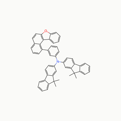 CC1(C)c2ccccc2-c2ccc(N(c3cccc(-c4cccc5ccc6oc7ccccc7c6c45)c3)c3ccc4c(c3)C(C)(C)c3ccccc3-4)cc21